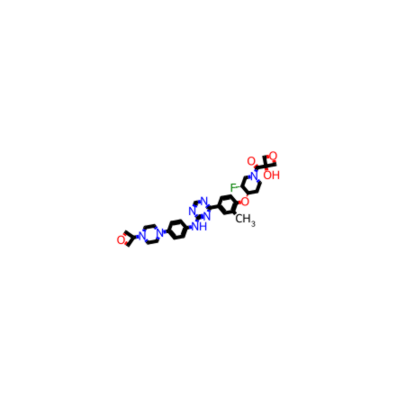 Cc1cc(-c2ncnc(Nc3ccc(N4CCN(C5COC5)CC4)cc3)n2)ccc1O[C@H]1CCN(C(=O)C2(O)COC2)C[C@H]1F